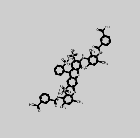 Cc1cc(C)c(NC(=O)c2cccc(C(=O)O)c2)c(C)c1/N=c1/cc2oc3cc(Nc4c(C)cc(C)c(NC(=O)c5cccc(C(=O)O)c5)c4C)c(S(=O)(=O)O)cc3c(-c3ccccc3S(=O)(=O)O)c-2cc1S(=O)(=O)O